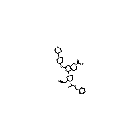 N#CCC1CN(c2nc(OC3CCN(C4CCOCC4)CC3)nc3c2CCN(C(=O)O)C3)CCN1C(=O)OCc1ccccc1